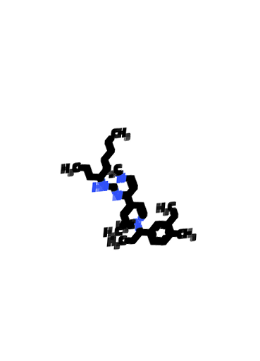 C=C/C=C(\C=C/N(C)C(CC)c1ccc(C)c(CC)c1)C(/C=C\N=C)=NCNC(CCC)CCCCC